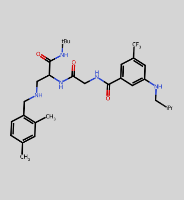 Cc1ccc(CNCC(NC(=O)CNC(=O)c2cc(NCC(C)C)cc(C(F)(F)F)c2)C(=O)NC(C)(C)C)c(C)c1